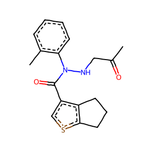 CC(=O)CNN(C(=O)c1csc2c1CCC2)c1ccccc1C